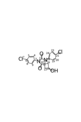 O=C1N(c2ccc(Cl)cc2)C(=O)C2(CC(O)C2)N1c1ccc(Cl)cc1